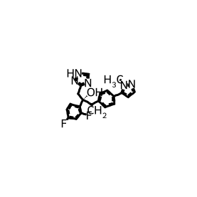 C=C(c1ccc(-c2ccnn2C)cc1)[C@](O)(Cc1nc[nH]n1)c1ccc(F)cc1F